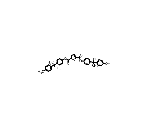 Cc1ccc(C(C)(C)c2ccc(OC(=O)c3ccc(C(=O)Oc4ccc(C(C)(C)c5ccc(O)cc5)cc4)s3)cc2)cc1